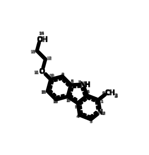 Cc1nccc2c1[nH]c1cc(OCCO)ccc12